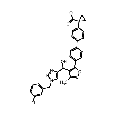 Cc1noc(-c2ccc(-c3ccc(C4(C(=O)O)CC4)cc3)cc2)c1C(O)c1cn(Cc2cccc(Cl)c2)nn1